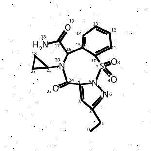 CCc1cc2n(n1)S(=O)(=O)c1ccccc1C(C(N)=O)N(C1CC1)C2=O